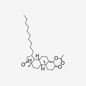 CCCCCCCCCCC1CC(=O)[C@@]2(C)CC[C@@H]3[C@@H](CCC4=C(OC(C)=O)C(=O)CC[C@@]43C)[C@H]12